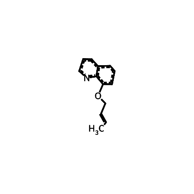 CC=CCOc1cccc2cccnc12